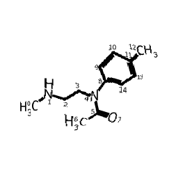 CNCCN(C(C)=O)c1ccc(C)cc1